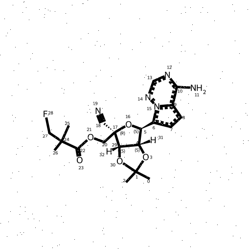 CC1(C)O[C@H]2[C@H](c3ccc4c(N)ncnn34)O[C@](C#N)(COC(=O)C(C)(C)CF)[C@H]2O1